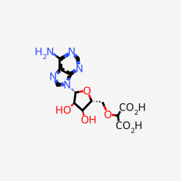 Nc1ncnc2c1ncn2[C@@H]1O[C@H](COC(C(=O)O)C(=O)O)[C@@H](O)[C@H]1O